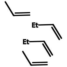 C=CC.C=CC.C=CCC.C=CCC